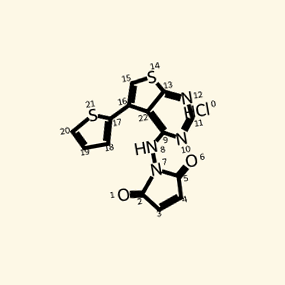 Cl.O=C1C=CC(=O)N1Nc1ncnc2scc(-c3cccs3)c12